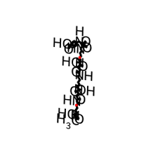 CC(=O)N(O)CCCCCNC(=O)CCC(=O)N(O)CCCCCNC(=O)CCC(=O)N(O)CCCCCNc1c(Nc2ccc(C(=O)O)cc2)c(=O)c1=O